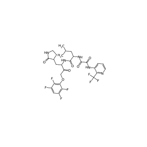 CC(C)CC(NC(=O)C(=O)Nc1cccnc1C(F)(F)F)C(=O)NC(CC1CCNC1=O)C(=O)COc1c(F)c(F)cc(F)c1F